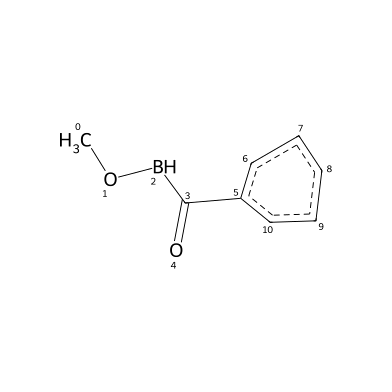 COBC(=O)c1ccccc1